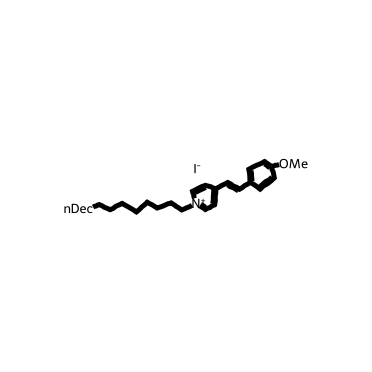 CCCCCCCCCCCCCCCCCC[n+]1ccc(C=Cc2ccc(OC)cc2)cc1.[I-]